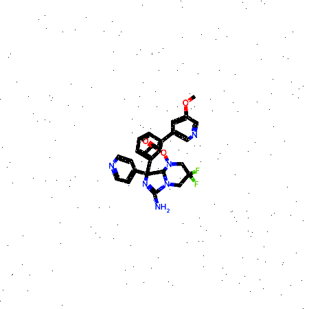 COc1cncc(-c2cccc(C3(c4ccncc4)N=C(N)N4CC(F)(F)CN(OC(C)=O)C43)c2)c1